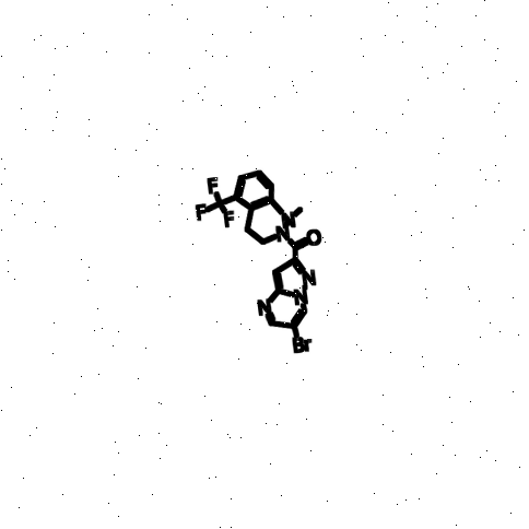 CN1c2cccc(C(F)(F)F)c2CCN1C(=O)c1cc2ncc(Br)cn2n1